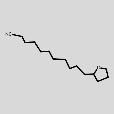 N#CCCCCCCCCCCC1CCCO1